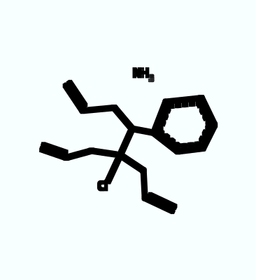 C=CCC(c1ccccc1)C(Cl)(CC=C)CC=C.N